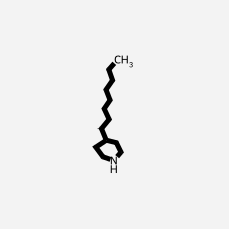 CCCCCCC[CH]C1CCNCC1